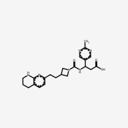 Cc1ncc(C(CC(=O)O)NC(=O)N2CC(CCc3ccc4c(n3)NCCC4)C2)cn1